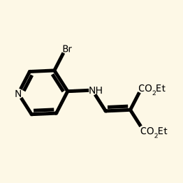 CCOC(=O)C(=CNc1ccncc1Br)C(=O)OCC